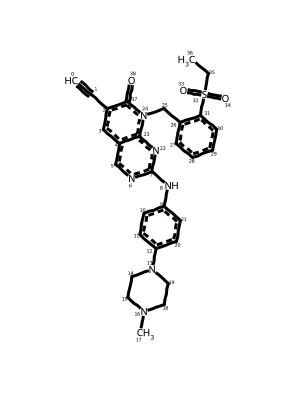 C#Cc1cc2cnc(Nc3ccc(N4CCN(C)CC4)cc3)nc2n(Cc2ccccc2S(=O)(=O)CC)c1=O